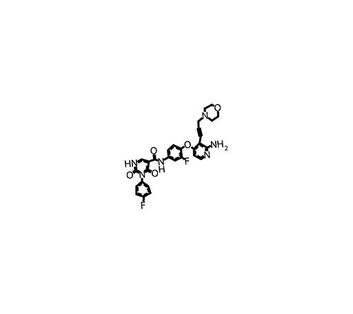 Nc1nccc(Oc2ccc(NC(=O)c3c[nH]c(=O)n(-c4ccc(F)cc4)c3=O)cc2F)c1C#CCN1CCOCC1